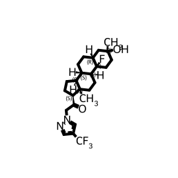 C[C@@]1(O)CC[C@@]2(F)[C@H](CC[C@H]3[C@@H]4CC[C@H](C(=O)Cn5cc(C(F)(F)F)cn5)[C@@]4(C)CC[C@@H]32)C1